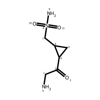 NCC(=O)C1CC1CS(N)(=O)=O